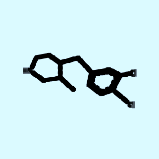 CC1CNCCC1Cc1ccc(Cl)c(Cl)c1